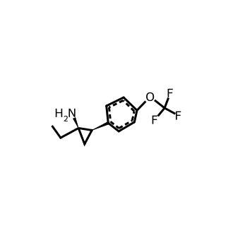 CC[C@@]1(N)C[C@@H]1c1ccc(OC(F)(F)F)cc1